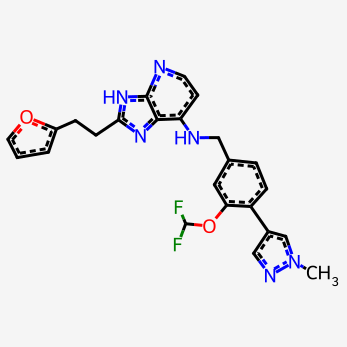 Cn1cc(-c2ccc(CNc3ccnc4[nH]c(CCc5ccco5)nc34)cc2OC(F)F)cn1